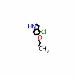 CCCCOc1ccc2[nH]ccc2c1Cl